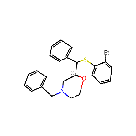 CCc1ccccc1SC(c1ccccc1)[C@@H]1CN(Cc2ccccc2)CCO1